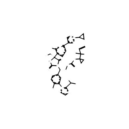 C=CC(F)(F)C1(NC(=O)OC[C@H](c2ccc(Cl)c(-n3ncnc3C(F)F)c2)N2C(=N)N[C@](CC(C)(C)C)(c3ccc(-c4cnn(C5CC5)n4)cc3F)C2=O)CC1